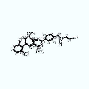 COn1c(=O)c(-c2c(Cl)cccc2Cl)cc2c(N)nc(-c3ccc(CNCCO)cc3)nc21